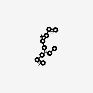 CC1(C)c2ccc(-c3ccc(N(c4ccc(-c5cccc6sc7ccccc7c56)cc4)c4cccc(-c5ccccc5)c4)cc3)cc2-c2ccc(-c3cccc4c3oc3ccccc34)cc21